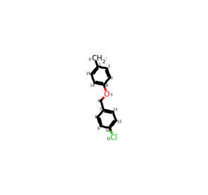 [CH2]c1ccc(OCc2ccc(Cl)cc2)cc1